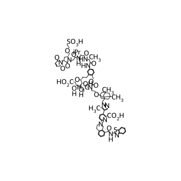 Cc1c(-c2ccc(N3CCc4cccc(C(=O)Nc5nc6ccccc6s5)c4C3)nc2C(=O)O)cnn1CC12CC3(C)CC(C)(C1)CC(OCCN(C)C(=O)OCc1ccc(NC(=O)[C@H](C)NC(=O)[C@@H](NC(=O)CN4C(=O)[C@@H](N5C(=O)C=CC5=O)C[C@H]4COCCS(=O)(=O)O)C(C)C)cc1CC[C@@H]1O[C@H](C(=O)O)[C@@H](O)[C@H](O)[C@H]1O)(C3)C2